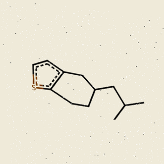 CC(C)CC1CCc2sccc2C1